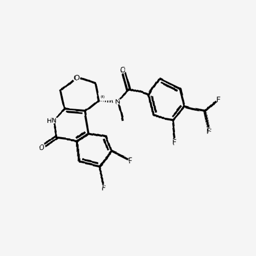 CN(C(=O)c1ccc(C(F)F)c(F)c1)[C@H]1COCc2[nH]c(=O)c3cc(F)c(F)cc3c21